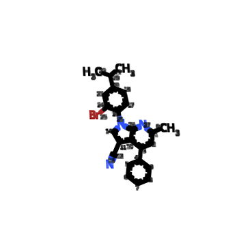 Cc1cc(-c2ccccc2)c2c(C#N)cn(-c3ccc(C(C)C)cc3Br)c2n1